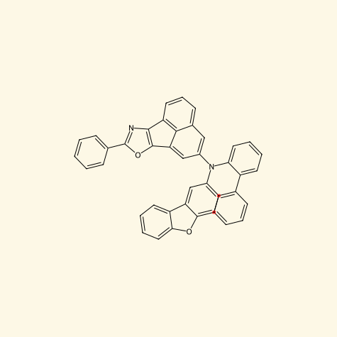 c1ccc(-c2nc3c(o2)-c2cc(N(c4ccc5oc6ccccc6c5c4)c4ccccc4-c4ccccc4)cc4cccc-3c24)cc1